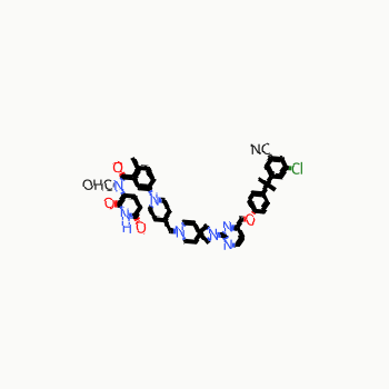 Cc1ccc(N2CCC(CN3CCC4(CC3)CN(c3nccc(COc5ccc(C(C)(C)c6cc(Cl)cc(C#N)c6)cc5)n3)C4)CC2)cc1C(=O)N(C=O)C1CCC(=O)NC1=O